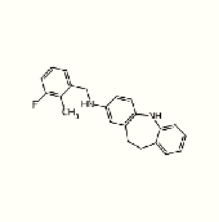 Cc1c(F)cccc1CNc1ccc2c(c1)CCc1ccccc1N2